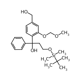 COCOc1cc(CO)ccc1C(O)(CCO[Si](C)(C)C(C)(C)C)c1ccccc1